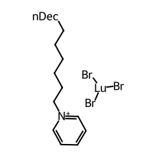 CCCCCCCCCCCCCCCC[n+]1ccccc1.[Br][Lu]([Br])[Br]